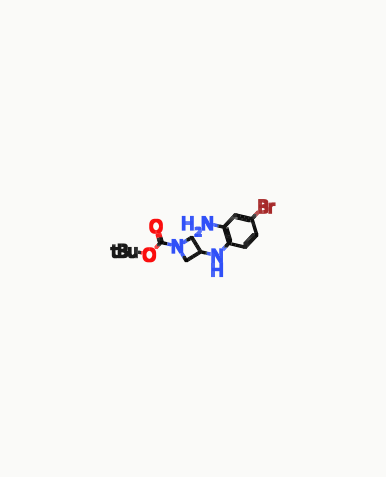 CC(C)(C)OC(=O)N1CC(Nc2ccc(Br)cc2N)C1